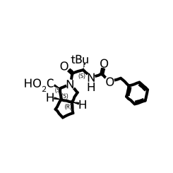 CC(C)(C)[C@H](NC(=O)OCc1ccccc1)C(=O)N1C[C@@H]2CCC[C@@H]2[C@H]1C(=O)O